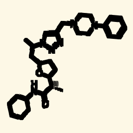 CC(CC1CCC([C@H](C)C(=O)NC2CCCCC2)O1)n1cc(CN2CCN(c3ccccc3)CC2)nn1